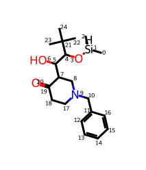 C[SiH](C)OC(C(O)C1CN(Cc2ccccc2)CCC1=O)C(C)(C)C